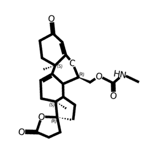 CNC(=O)OC[C@@H]1CC2=CC(=O)CC[C@]2(C)C2=CC[C@@]3(C)C(CC[C@@]34CCC(=O)O4)C21